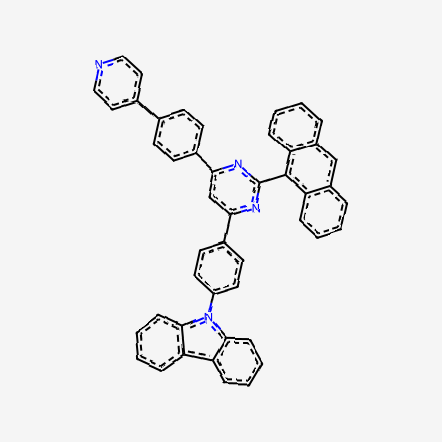 c1ccc2c(-c3nc(-c4ccc(-c5ccncc5)cc4)cc(-c4ccc(-n5c6ccccc6c6ccccc65)cc4)n3)c3ccccc3cc2c1